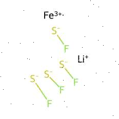 F[S-].F[S-].F[S-].F[S-].[Fe+3].[Li+]